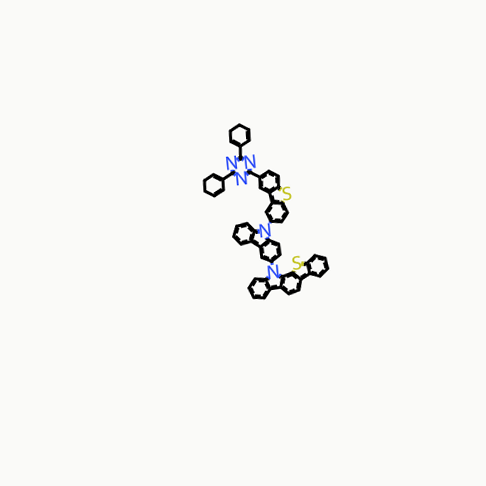 C1=CC(c2nc(C3=CCCC=C3)nc(-c3ccc4sc5ccc(-n6c7ccccc7c7cc(-n8c9ccccc9c9ccc%10c%11ccccc%11sc%10c98)ccc76)cc5c4c3)n2)=CCC1